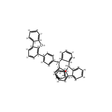 c1ccc(N(c2ccc(-c3cccc4c3oc3ccccc34)cc2)c2ccccc2-n2c3ccccc3c3ccccc32)cc1